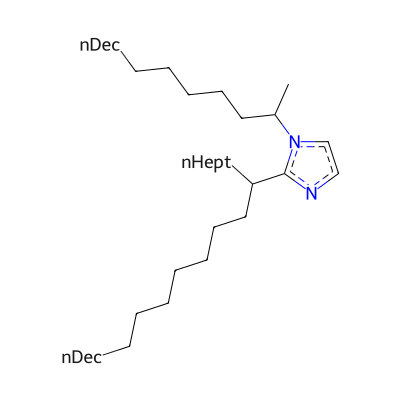 CCCCCCCCCCCCCCCCCC(CCCCCCC)c1nccn1C(C)CCCCCCCCCCCCCCC